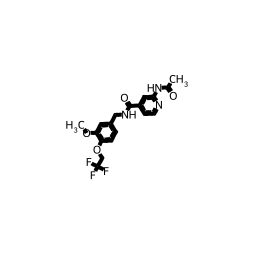 COc1cc(CNC(=O)c2ccnc(NC(C)=O)c2)ccc1OCC(F)(F)F